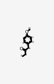 CCC(=O)Cc1ccc(OC)cc1